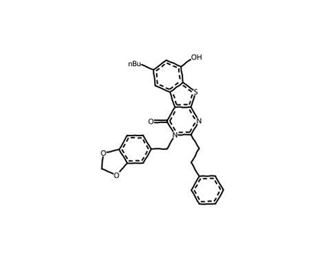 CCCCc1cc(O)c2sc3nc(CCc4ccccc4)n(Cc4ccc5c(c4)OCO5)c(=O)c3c2c1